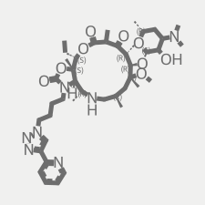 CC[C@@H]1OC(=O)C(C)C(=O)[C@H](C)[C@@H](O[C@@H]2O[C@H](C)CC(N(C)C)C2O)[C@](C)(OC)C[C@@H](C)CN[C@H](C)[C@H]2N(CCCCn3cc(-c4ccccn4)nn3)C(=O)O[C@]12C